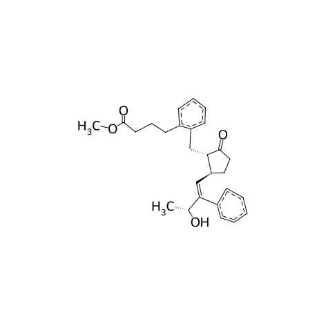 COC(=O)CCCc1ccccc1C[C@@H]1C(=O)CC[C@H]1/C=C(\c1ccccc1)[C@@H](C)O